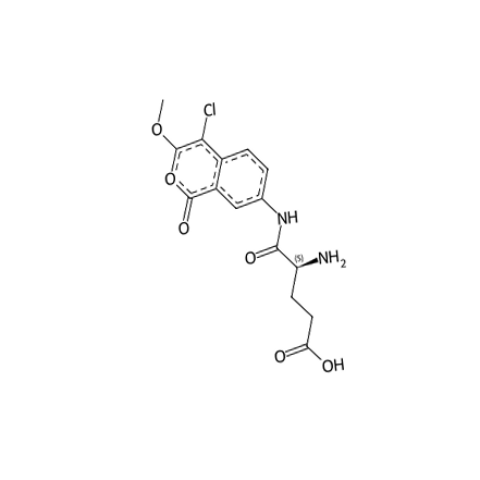 COc1oc(=O)c2cc(NC(=O)[C@@H](N)CCC(=O)O)ccc2c1Cl